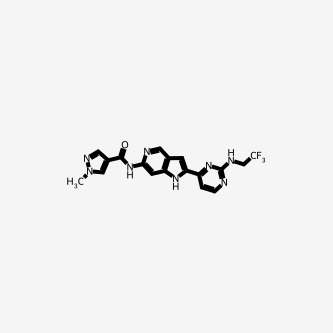 Cn1cc(C(=O)Nc2cc3[nH]c(-c4ccnc(NCC(F)(F)F)n4)cc3cn2)cn1